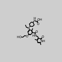 CCN(c1cc(OCCO)cc(C(=O)NCc2c(C)cc(C)[nH]c2=O)c1C)C1CCC(NC(=O)O)CC1